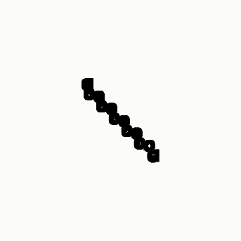 ClOOOOOOOOOOCl